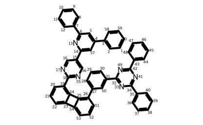 c1ccc(-c2cc(-c3ccccc3)nc(-c3cnc(-c4cccc5c4-c4c(-c6cccc(-c7nc(-c8ccccc8)nc(-c8ccccc8)n7)c6)cccc4-5)nc3)c2)cc1